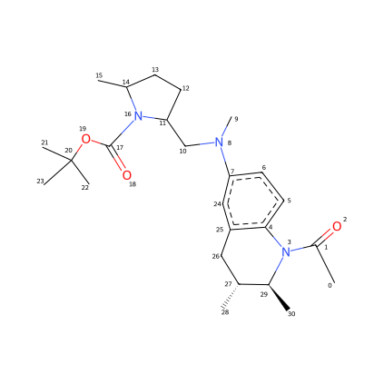 CC(=O)N1c2ccc(N(C)CC3CCC(C)N3C(=O)OC(C)(C)C)cc2C[C@@H](C)[C@@H]1C